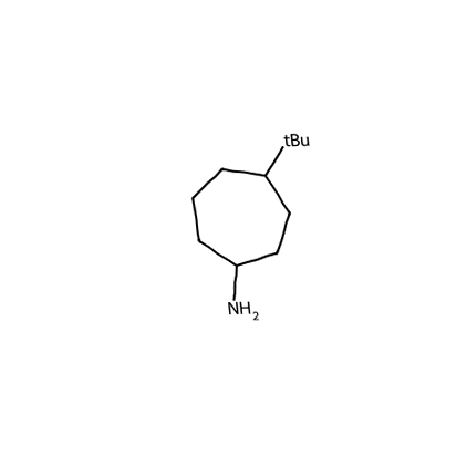 CC(C)(C)C1CCCC(N)CC1